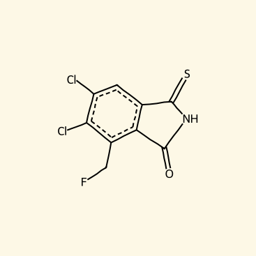 O=C1NC(=S)c2cc(Cl)c(Cl)c(CF)c21